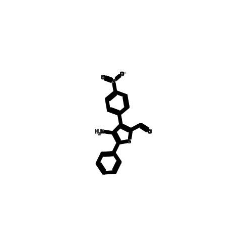 Nc1c(-c2ccccc2)sc(C=O)c1-c1ccc([N+](=O)[O-])cc1